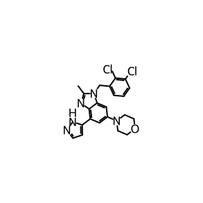 Cc1nc2c(-c3ccn[nH]3)cc(N3CCOCC3)cc2n1Cc1cccc(Cl)c1Cl